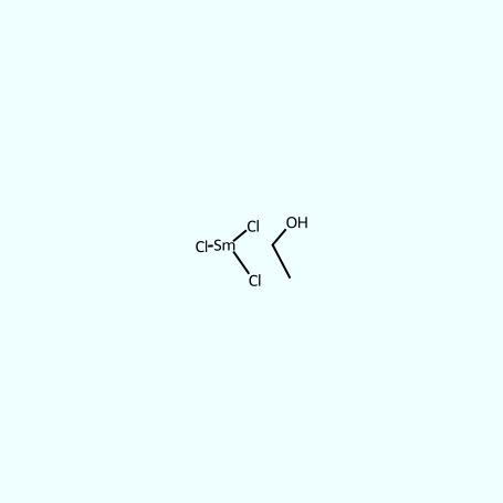 CCO.[Cl][Sm]([Cl])[Cl]